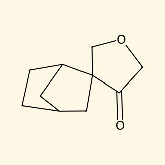 O=C1COCC12CC1CCC2C1